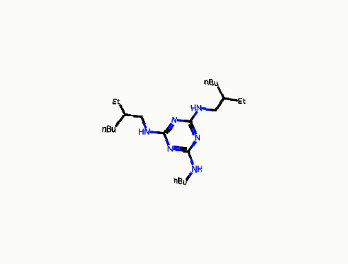 CCCCNc1nc(NCC(CC)CCCC)nc(NCC(CC)CCCC)n1